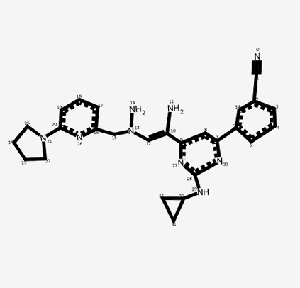 N#Cc1cccc(-c2cc(/C(N)=C/N(N)Cc3cccc(N4CCCC4)n3)nc(NC3CC3)n2)c1